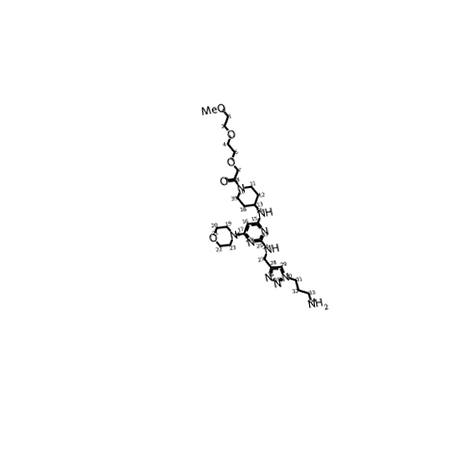 COCCOCCOCC(=O)N1CCC(Nc2cc(N3CCOCC3)nc(NCc3cn(CCCN)nn3)n2)CC1